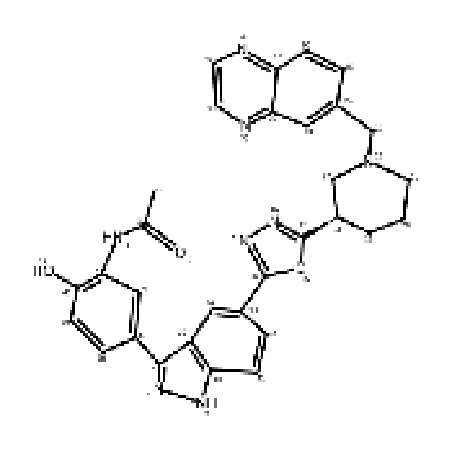 CC(=O)Nc1cc(-c2n[nH]c3ccc(-c4nnc([C@@H]5CCCN(Cc6ccc7nccnc7c6)C5)o4)cc23)ccc1O